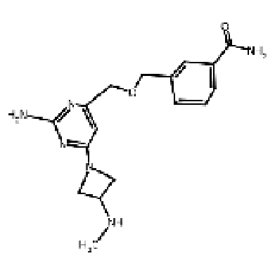 CNC1CN(c2cc(COCc3cccc(C(N)=O)c3)nc(N)n2)C1